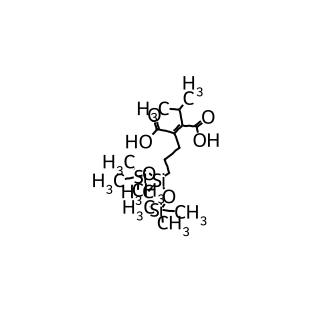 CC(C)C(C(=O)O)=C(CCC[Si](C)(O[Si](C)(C)C)O[Si](C)(C)C)C(=O)O